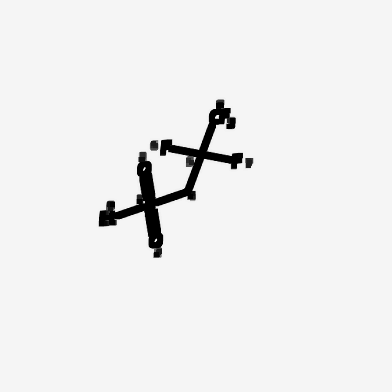 CCS(=O)(=O)CC(F)(F)C(F)(F)F